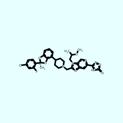 COC(C)Cn1c(CN2CCC(c3cccc4c3O[C@@](C)(c3ccc(Cl)cc3F)O4)CC2)nc2cc(-c3noc(=O)[nH]3)ncc21